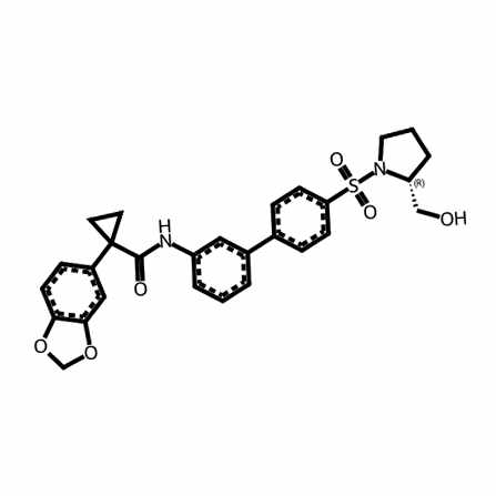 O=C(Nc1cccc(-c2ccc(S(=O)(=O)N3CCC[C@@H]3CO)cc2)c1)C1(c2ccc3c(c2)OCO3)CC1